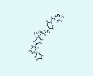 CCO[C@@H](Cc1ccc(OC/C=C(\C)c2ccc(-c3cccc(-c4ccccc4)c3)cc2)cc1)C(=O)O